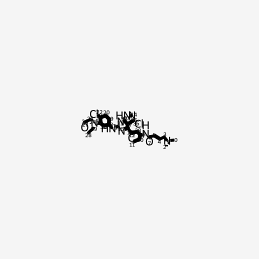 CN(C)C/C=C/C(=O)Nc1cccc(-c2nc(Nc3ccc(Cl)c(N4CCOCC4)c3)nc3[nH]nc(Cl)c23)c1